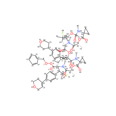 CC(C=O)[C@@](C(=O)OOCc1ccccc1)(C(c1ccc(C2=CCOCC2)cc1)C(C)(C)F)N(C)C(=O)[C@@H](C)OC(=O)C1(N(C)C(=O)[C@@H](Cc2ccc(C3CCOCC3)cc2)OC(=O)[C@H](CC(C)(C)F)N(C)C(=O)[C@@H](C)OC(=O)C2(N(C)C(=O)OC(C)(C)C)CC2)CC1